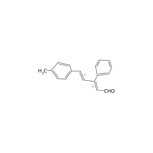 Cc1ccc(/C=C/C(=C/C=O)c2ccccc2)cc1